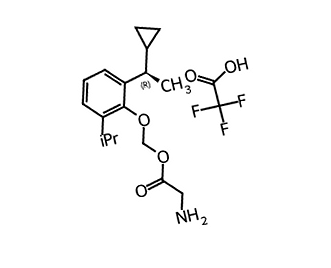 CC(C)c1cccc([C@H](C)C2CC2)c1OCOC(=O)CN.O=C(O)C(F)(F)F